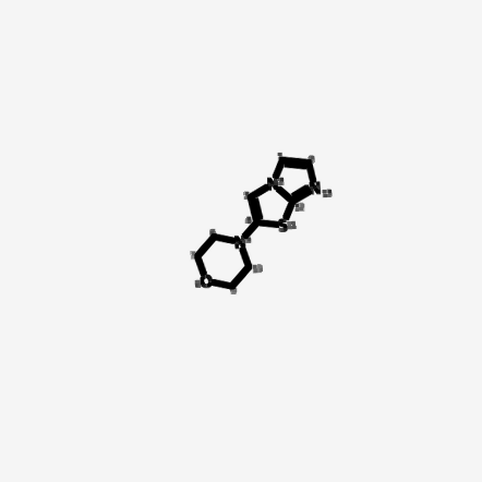 c1cn2cc(N3CCOCC3)sc2n1